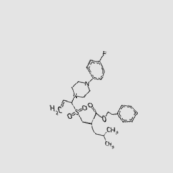 C=CC(N1CCN(c2ccc(F)cc2)CC1)S(=O)(=O)CC(CC(C)C)C(=O)OCc1ccccc1